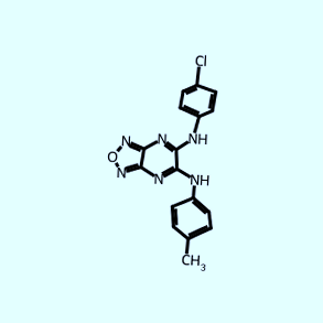 Cc1ccc(Nc2nc3nonc3nc2Nc2ccc(Cl)cc2)cc1